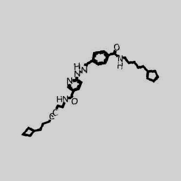 O=C(NCCCCCCCC1CCC1)c1ccc(NN=Cc2ccc(C(=O)NCCCCCC3CCCC3)cc2)nc1